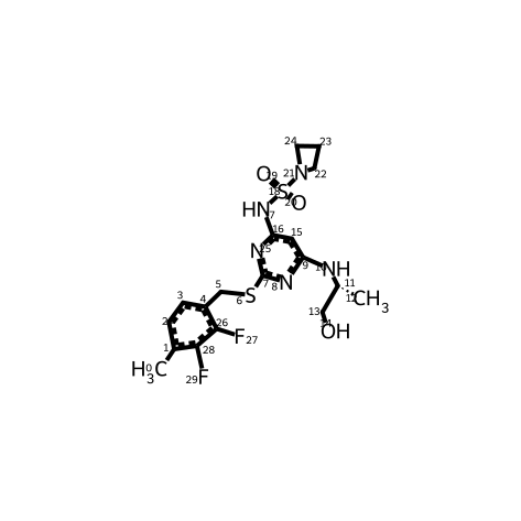 Cc1ccc(CSc2nc(N[C@H](C)CO)cc(NS(=O)(=O)N3CCC3)n2)c(F)c1F